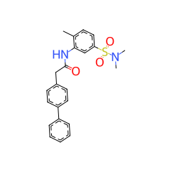 Cc1ccc(S(=O)(=O)N(C)C)cc1NC(=O)Cc1ccc(-c2ccccc2)cc1